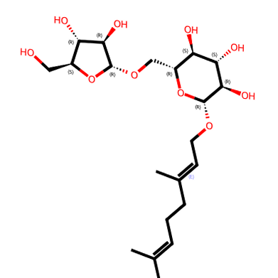 CC(C)=CCC/C(C)=C/CO[C@@H]1O[C@H](CO[C@@H]2O[C@@H](CO)[C@H](O)[C@H]2O)[C@@H](O)[C@H](O)[C@H]1O